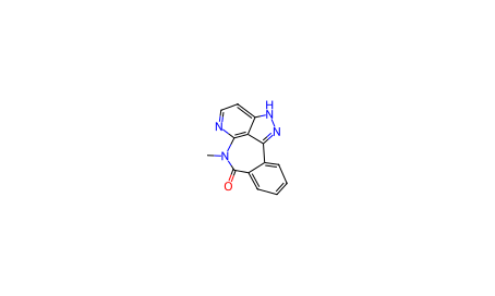 CN1C(=O)c2ccccc2-c2n[nH]c3ccnc1c23